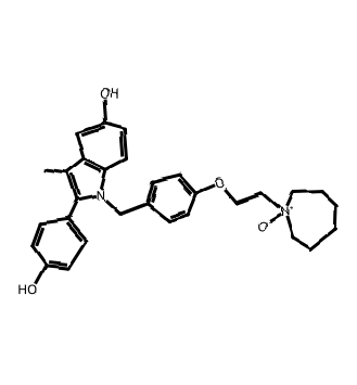 Cc1c(-c2ccc(O)cc2)n(Cc2ccc(OCC[N+]3([O-])CCCCCC3)cc2)c2ccc(O)cc12